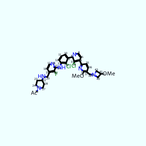 COc1nc(-c2ccnc(-c3cccc(Nc4nccc(CNC5CCN(C(C)=O)CC5)c4F)c3Cl)c2Cl)ccc1CN1CC(OC)C1